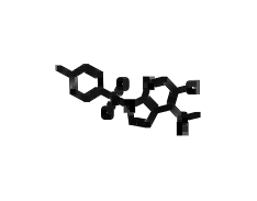 CBc1c(Cl)cnc2c1ccn2S(=O)(=O)c1ccc(C)cc1